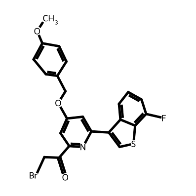 COc1ccc(COc2cc(C(=O)CBr)nc(-c3csc4c(F)cccc34)c2)cc1